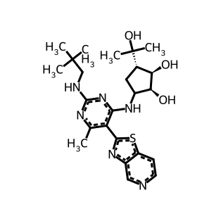 Cc1nc(NCC(C)(C)C)nc(NC2C[C@H](C(C)(C)O)[C@@H](O)[C@H]2O)c1-c1nc2cnccc2s1